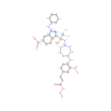 CCOC(=O)/C=C/c1ccc(OC2CCCN(CC(O)(c3cn(Cc4ccccc4)c4cc([N+](=O)[O-])ccc34)C(F)(F)F)CC2)c(OC)c1